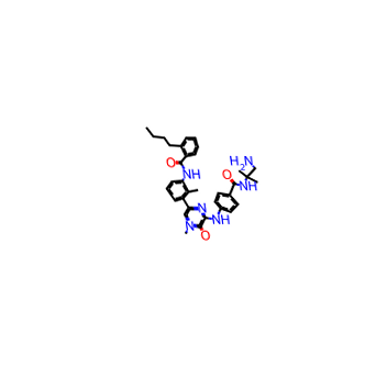 CCCCc1ccccc1C(=O)Nc1cccc(-c2cn(C)c(=O)c(Nc3ccc(C(=O)NC(C)(C)CN)cc3)n2)c1C